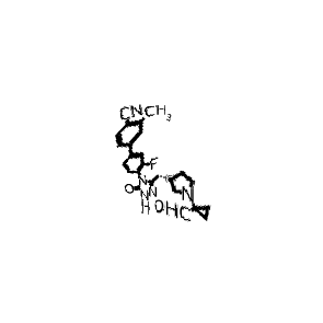 Cc1cc(-c2ccc(-n3c(C[C@@H]4CCN(C5(C=O)CC5)C4)n[nH]c3=O)c(F)c2)ccc1C#N